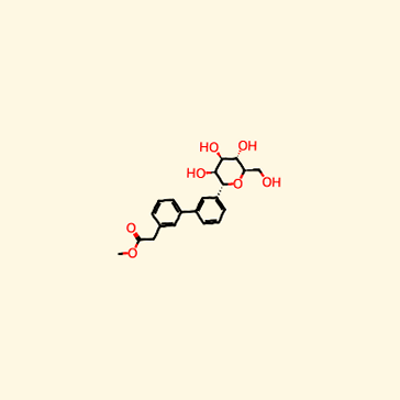 COC(=O)Cc1cccc(-c2cccc([C@H]3O[C@H](CO)[C@@H](O)[C@H](O)[C@@H]3O)c2)c1